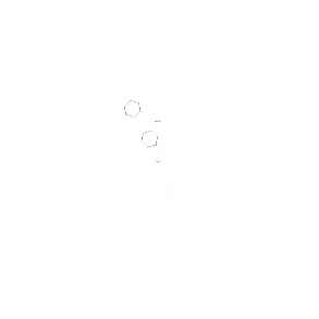 O=C(Cc1ccc2c(c1)C(=O)Cc1ccccc1O2)OCCOCCO